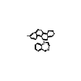 C1=CSc2ccccc2C=N1.Cc1ccc2c(c1)=CCc1c3c(ccc1=2)=CCCC3